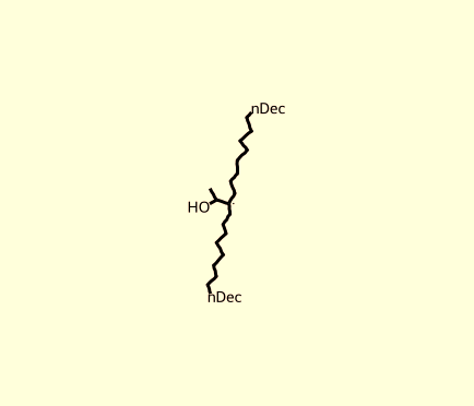 CCCCCCCCCCCCCCCCCC[C](CCCCCCCCCCCCCCCCCC)C(C)O